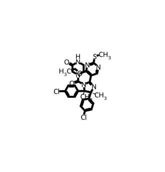 CCOc1nc(SC)ncc1C1=N[C@@](C)(c2ccc(Cl)cc2)[C@@](C)(c2ccc(Cl)cc2)N1C(=O)N1CCNC(=O)C1